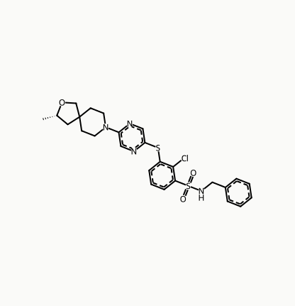 C[C@H]1CC2(CCN(c3cnc(Sc4cccc(S(=O)(=O)NCc5ccccc5)c4Cl)cn3)CC2)CO1